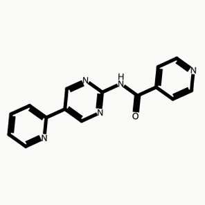 O=C(Nc1ncc(-c2ccccn2)cn1)c1ccncc1